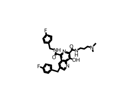 CN(C)CCCNC(=O)c1nc(C(=O)NCc2ccc(F)cc2)c2cc(Cc3ccc(F)cc3)cnc2c1O